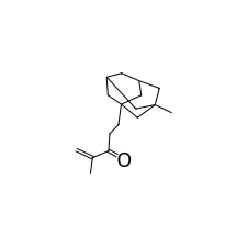 C=C(C)C(=O)CCC12CC3CC(CC(C)(C3)C1)C2